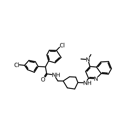 CN(C)c1cc(NC2CCC(CNC(=O)C(c3ccc(Cl)cc3)c3ccc(Cl)cc3)CC2)nc2ccccc12